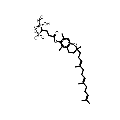 CC(C)=CCC/C(C)=C/CC/C(C)=C/CCC1(C)CCc2c(cc(C)c(OC(=O)CCC(P(=O)(O)O)P(=O)(O)N=O)c2C)O1